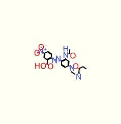 CCC(C#N)ON(CC)c1ccc(/N=N/c2ccc([N+](=O)[O-])cc2C(=O)O)c(NC(C)=O)c1